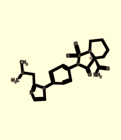 CN(C)Cc1nccn1-c1ccc(N2C(=O)[C@@]3(C(N)=O)[CH]CCCN3S2(=O)=O)cc1